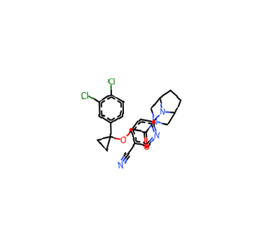 N#Cc1ccc(N2C3CCC2CN(C(=O)COC2(c4ccc(Cl)c(Cl)c4)CC2)C3)nc1